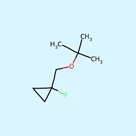 CC(C)(C)OCC1(F)CC1